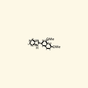 COc1ccc2cc(-c3nc4cncnc4[nH]3)cc(OC)c2c1